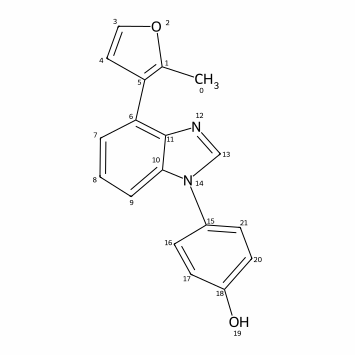 Cc1occc1-c1cccc2c1ncn2-c1ccc(O)cc1